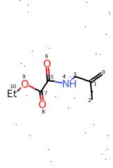 C=C(C)CNC(=O)C(=O)OCC